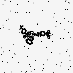 CC(C)(C)c1ccc(S(=O)(=O)N2c3ccccc3C[C@H]2C(=O)NCc2ccc([N+](=O)[O-])cc2)cc1